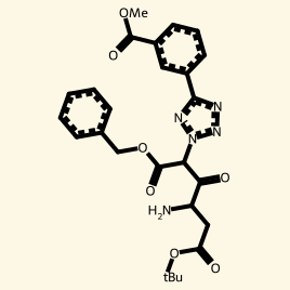 COC(=O)c1cccc(-c2nnn(C(C(=O)OCc3ccccc3)C(=O)C(N)CC(=O)OC(C)(C)C)n2)c1